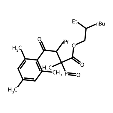 CCCCC(CC)COC(=O)C(C)(P=O)C(C(=O)c1c(C)cc(C)cc1C)C(C)C